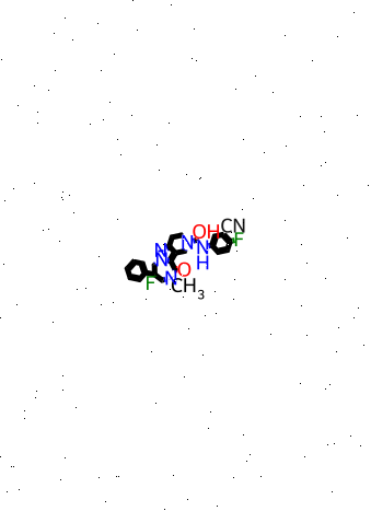 CN1CC(F)(c2ccccc2)Cn2nc3c(c2C1=O)CN(C(O)Nc1ccc(F)c(C#N)c1)CC3